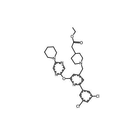 CCOC(=O)CC1CCN(Cc2cc(Oc3cnc(N4CCCCC4)cn3)nc(-c3cc(Cl)cc(Cl)c3)c2)CC1